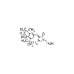 CC(C)(C)c1cc(/C=C2\SCN(CCO)C2=O)cc(C(C)(C)C)c1O